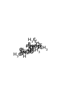 CCCc1ccc(C(C)(F)F)cc1CNc1nc(C(F)F)nc(C(=O)N2CCC(NC3CCOCC3OC)CC2)c1C